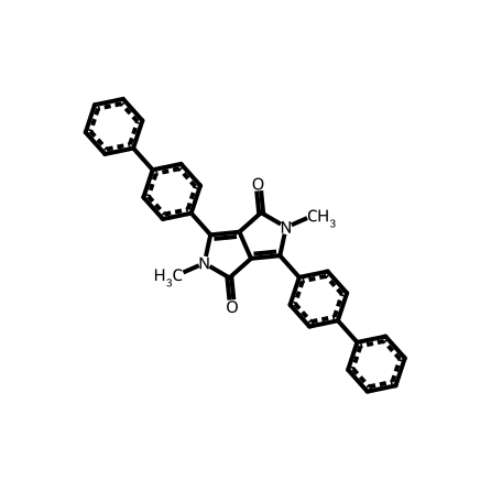 CN1C(=O)C2=C(c3ccc(-c4ccccc4)cc3)N(C)C(=O)C2=C1c1ccc(-c2ccccc2)cc1